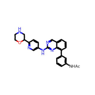 CC(=O)Nc1cccc(-c2cccc3cnc(Nc4ccc(C5CNCCO5)nc4)nc23)c1